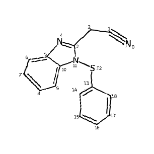 N#CCc1nc2ccccc2n1Sc1ccccc1